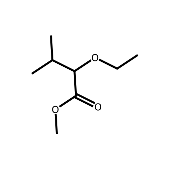 CCOC(C(=O)OC)C(C)C